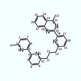 Cc1cccc(-c2cccc(CCCc3cccc(-c4nc(C)c5ccccc5n4)n3)n2)n1